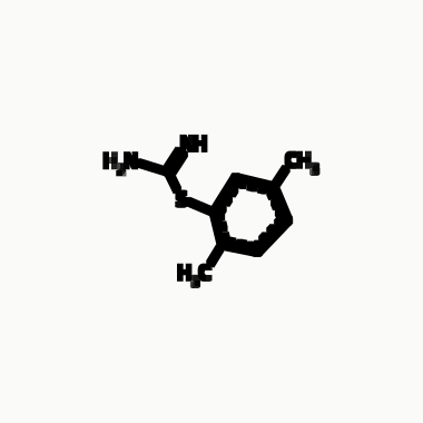 Cc1ccc(C)c(SC(=N)N)c1